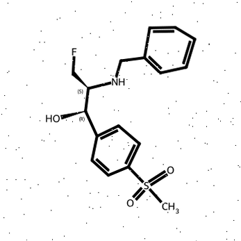 CS(=O)(=O)c1ccc([C@@H](O)[C@@H](CF)NCc2ccccc2)cc1